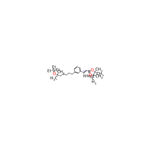 CCCCCCC/C(=C\B1OC(C)(C)C(C)(C)O1)c1cccc(CCCCCC(C)(C)O[Si](CC)(CC)CC)c1